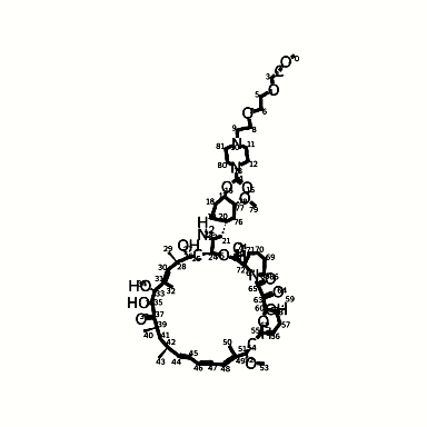 COCCOCCOCCN1CCN(C(=O)O[C@@H]2CC[C@@H](C[C@@H](N)[C@@H]3C[C@@H](O)[C@H](C)/C=C(\C)[C@@H](O)[C@@H](O)C(=O)[C@H](C)C[C@H](C)/C=C/C=C/C=C(\C)[C@@H](OC)C[C@@H]4CC[C@@H](C)[C@@](O)(O4)C(=O)C(=O)N4CCCC[C@H]4C(=O)O3)C[C@H]2OC)CC1